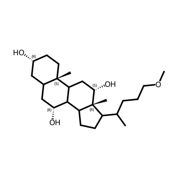 COCCCC(C)C1CCC2C3C(C[C@H](O)[C@]12C)[C@@]1(C)CC[C@@H](O)CC1C[C@H]3O